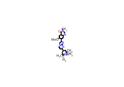 COc1cc2c(=O)n(C)cnc2cc1-c1cn2ccc(C3=CC(C)(C)NC(C)(C)C3)nc2n1